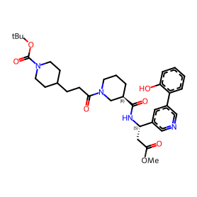 COC(=O)C[C@H](NC(=O)[C@@H]1CCCN(C(=O)CCC2CCN(C(=O)OC(C)(C)C)CC2)C1)c1cncc(-c2ccccc2O)c1